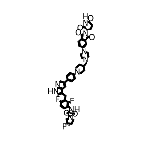 O=C1CCC(N2C(=O)c3ccc(N4CCN(CC5CCN(c6ccc(-c7cnc8[nH]cc(Cc9c(F)ccc(NS(=O)(=O)N%10CC[C@@H](F)C%10)c9F)c8c7)cc6)CC5)CC4)cc3C2=O)C(=O)N1